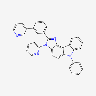 c1ccc(-n2c3ccccc3c3c4nc(-c5cccc(-c6cccnc6)c5)n(-c5ccccn5)c4ccc32)cc1